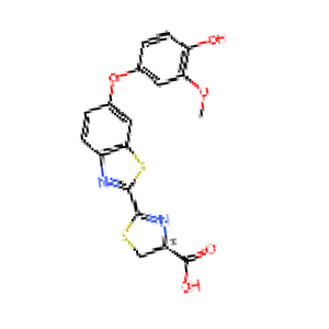 COc1cc(Oc2ccc3nc(C4=N[C@@H](C(=O)O)CS4)sc3c2)ccc1O